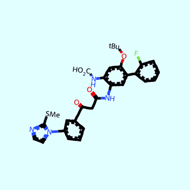 CSc1nccn1-c1cccc(C(=O)CC(=O)Nc2cc(-c3ccccc3F)c(OC(C)(C)C)cc2NC(=O)O)c1